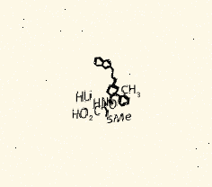 CSCC[C@H](NC(=O)c1ccc(C=CCc2ccc3ccccc3c2)cc1-c1ccccc1C)C(=O)O.[LiH]